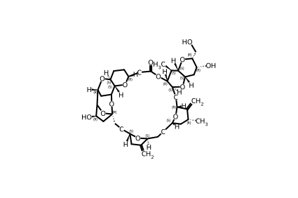 C=C1C[C@@H]2CC[C@]34C[C@@H](O)C(O3)[C@H]3CC(O4)[C@H]4O[C@H](CC[C@@H]4O3)CC(=O)O[C@@H]3[C@@H](C)[C@@H]4O[C@H](CO)[C@H](O)C[C@@H]4O[C@H]3C[C@H]3O[C@@H](CC[C@@H]1O2)C[C@@H](C)C3=C